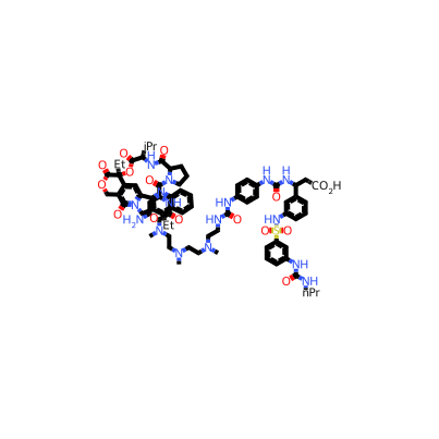 CCCNC(=O)Nc1cccc(S(=O)(=O)Nc2cccc(C(CC(=O)O)NC(=O)Nc3ccc(NC(=O)NCCN(C)CCN(C)CCN(C)CC(=O)NC(CC(N)=O)C(=O)N4CCCC4C(=O)NC(C(=O)OC4(CC)C(=O)OCc5c4cc4n(c5=O)Cc5c-4nc4ccccc4c5CC)C(C)C)cc3)c2)c1